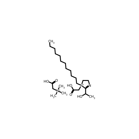 CCCCCCCCCCCC[N+]1(CC(=O)O)CCN=C1C(C)O.C[N+](C)(C)CC(=O)O